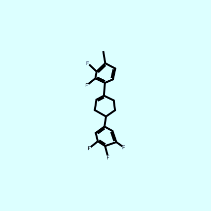 Cc1ccc(C2=CCC(c3cc(F)c(F)c(F)c3)CC2)c(F)c1F